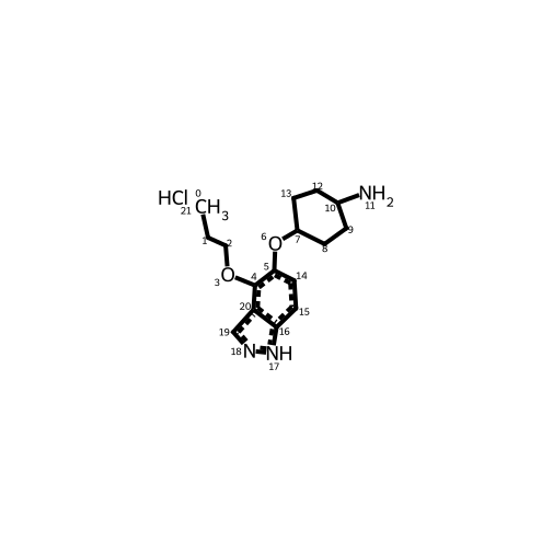 CCCOc1c(OC2CCC(N)CC2)ccc2[nH]ncc12.Cl